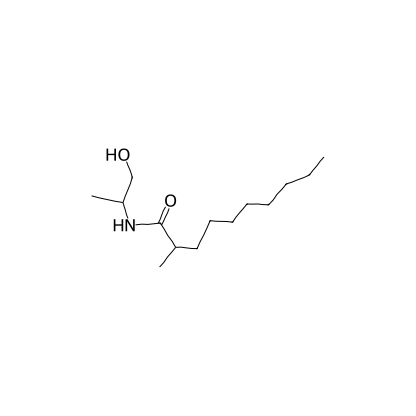 CCCCCCCCC(C)C(=O)NC(C)CO